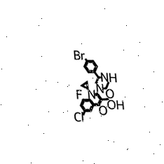 O=C(O)c1c(N2CCNC(c3ccc(Br)cc3)C2)n(C2CC2)c2c(F)cc(Cl)cc2c1=O